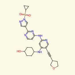 O=S(=O)(C1CC1)n1cc(-c2nccc(Nc3cc(NC4CCC(O)CC4)c(C#CC4CCOC4)cn3)n2)cn1